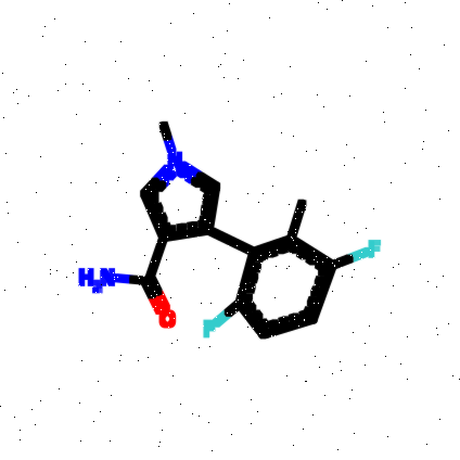 Cc1c(F)ccc(F)c1-c1cn(C)cc1C(N)=O